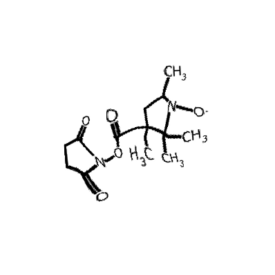 CC1CC(C)(C(=O)ON2C(=O)CCC2=O)C(C)(C)N1[O]